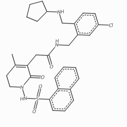 CC1=C(CC(=O)NCc2cc(Cl)ccc2CNC2CCCC2)C(=O)N(NS(=O)(=O)c2cccc3ccccc23)CC1